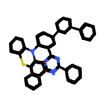 c1ccc(-c2cccc(-c3ccc(N4c5ccccc5Sc5ccccc54)c(-c4nc(-c5ccccc5)nc(-c5ccccc5)n4)c3)c2)cc1